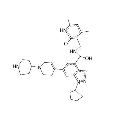 Cc1cc(C)c(CNC(O)c2cc(C3=CCN(C4CCNCC4)CC3)cc3c2cnn3C2CCCC2)c(=O)[nH]1